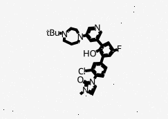 Cn1ccn(-c2ccc(-c3cc(F)cc(-c4cncc(N5CCCN(C(C)(C)C)CC5)c4)c3O)cc2Cl)c1=O